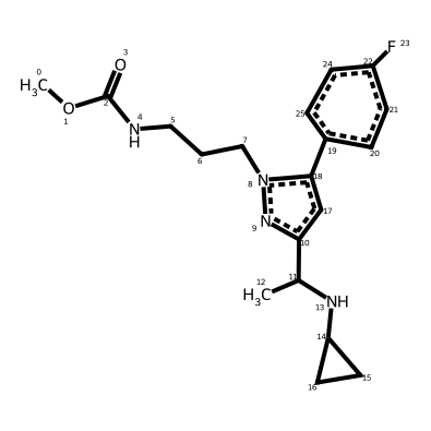 COC(=O)NCCCn1nc(C(C)NC2CC2)cc1-c1ccc(F)cc1